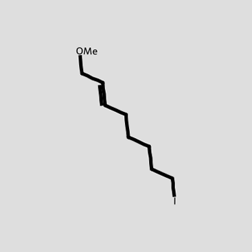 COC/C=C/CCCCCI